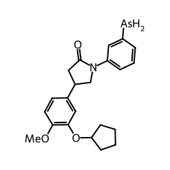 COc1ccc(C2CC(=O)N(c3cccc([AsH2])c3)C2)cc1OC1CCCC1